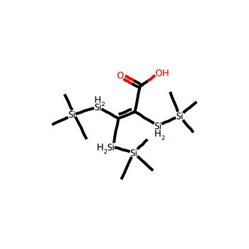 C[Si](C)(C)[SiH2]C([SiH2][Si](C)(C)C)=C([SiH2][Si](C)(C)C)C(=O)O